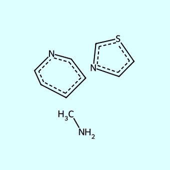 CN.c1ccncc1.c1cscn1